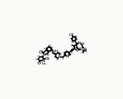 CC1=C(C#Cc2ccc(CN3CCC(CNc4cccc5c4CN(C4CCC(=O)NC4=O)C5=O)CC3)nc2)SC2=CC1/C(c1ccc(Cl)cc1)=N\[C@@H](C)c1nnc(C)n12